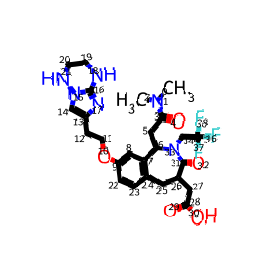 CN(C)C(=O)CC1c2cc(OCCc3cn4c(n3)NCCN4)ccc2CC(CC(=O)O)C(=O)N1CC(F)(F)F